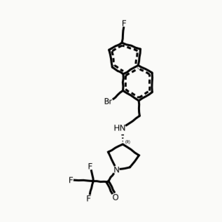 O=C(N1CC[C@@H](NCc2ccc3cc(F)ccc3c2Br)C1)C(F)(F)F